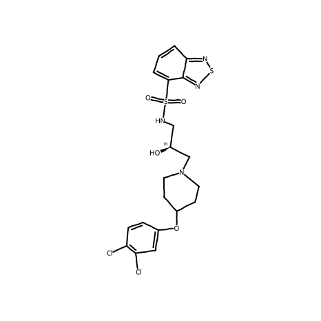 O=S(=O)(NC[C@H](O)CN1CCC(Oc2ccc(Cl)c(Cl)c2)CC1)c1cccc2nsnc12